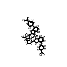 CC1CCC(C2Cc3c(-c4ccc(C(C)C)cc4)cccc3C2S(C)(C)C2c3cccc(-c4ccc(C(C)C)cc4)c3CC2C2CCC(C)O2)O1